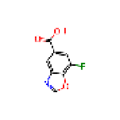 O=C(O)c1cc(F)c2ocnc2c1